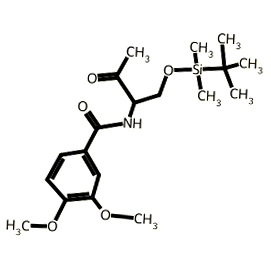 COc1ccc(C(=O)NC(CO[Si](C)(C)C(C)(C)C)C(C)=O)cc1OC